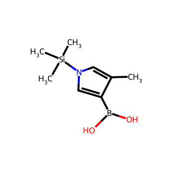 Cc1cn([Si](C)(C)C)cc1B(O)O